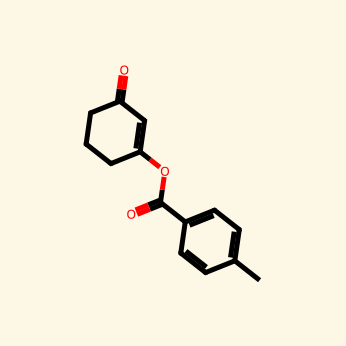 Cc1ccc(C(=O)OC2=CC(=O)CCC2)cc1